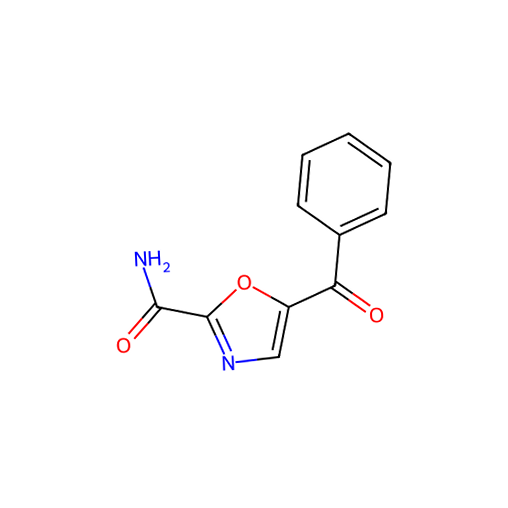 NC(=O)c1ncc(C(=O)c2ccccc2)o1